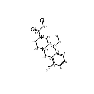 CCOc1cccc(F)c1CN1CCN(C(=O)CCl)CC1